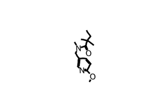 CCC(C)(C)C(=O)N(C)Cc1ccc(OC)nc1